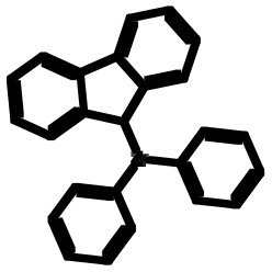 c1cc[c]([Zr]([c]2ccccc2)[CH]2c3ccccc3-c3ccccc32)cc1